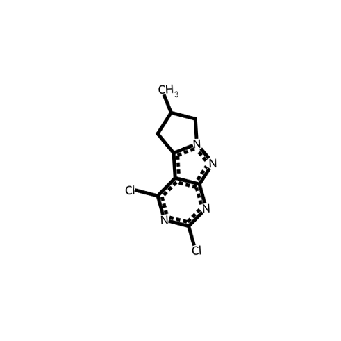 CC1Cc2c3c(Cl)nc(Cl)nc3nn2C1